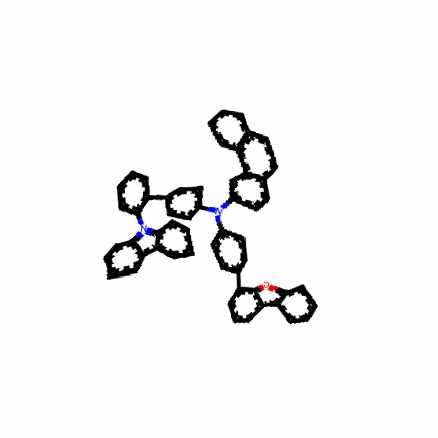 c1ccc(-n2c3ccccc3c3ccccc32)c(-c2ccc(N(c3ccc(-c4cccc5c4oc4ccccc45)cc3)c3ccc4ccc5ccccc5c4c3)cc2)c1